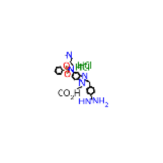 CN(C)CCCN(c1ccc2c(c1)nc(Cc1ccc(C(=N)N)cc1)n2CCC(=O)O)S(=O)(=O)c1ccccc1.Cl.Cl